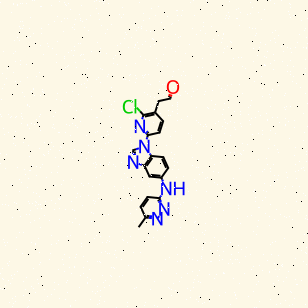 Cc1ccc(Nc2ccc3c(c2)ncn3-c2ccc(CC=O)c(Cl)n2)nn1